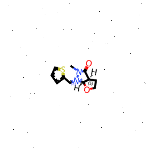 CN1C(=O)[C@H]2CCO[C@H]2/[N+]1=C/c1cccs1